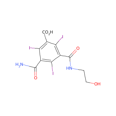 NC(=O)c1c(I)c(C(=O)O)c(I)c(C(=O)NCCO)c1I